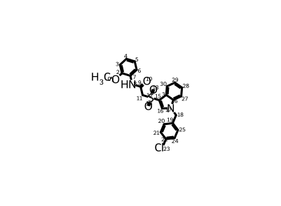 COc1ccccc1NC(=O)CS(=O)(=O)c1cn(Cc2ccc(Cl)cc2)c2ccccc12